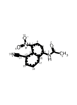 CC(=O)Nc1ccc([N+](=O)[O-])c2c(C#N)cccc12